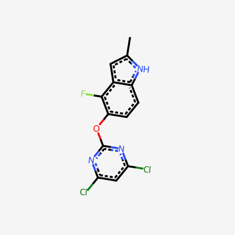 Cc1cc2c(F)c(Oc3nc(Cl)cc(Cl)n3)ccc2[nH]1